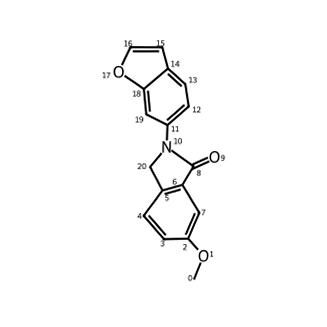 COc1ccc2c(c1)C(=O)N(c1ccc3ccoc3c1)C2